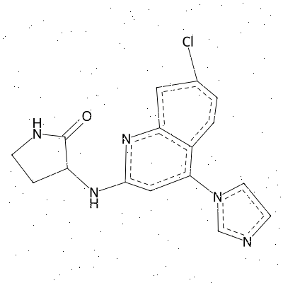 O=C1NCCC1Nc1cc(-n2ccnc2)c2ccc(Cl)cc2n1